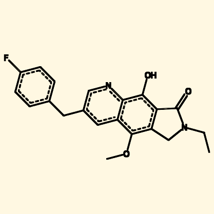 CCN1Cc2c(c(O)c3ncc(Cc4ccc(F)cc4)cc3c2OC)C1=O